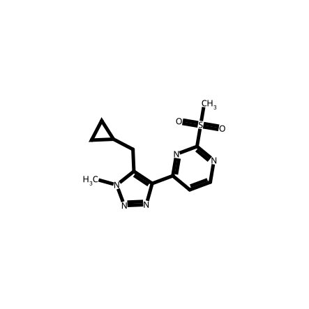 Cn1nnc(-c2ccnc(S(C)(=O)=O)n2)c1CC1CC1